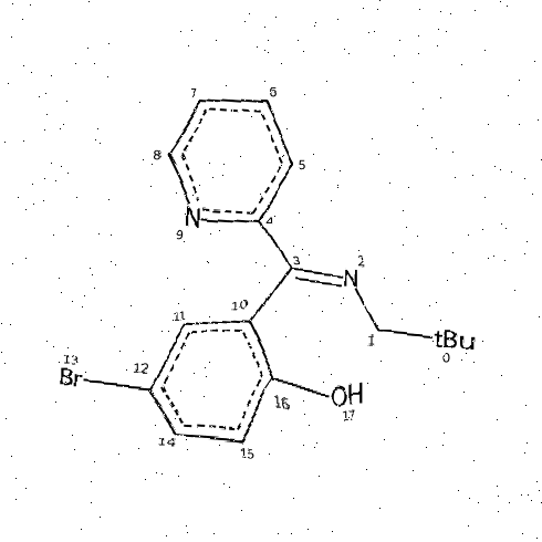 CC(C)(C)CN=C(c1ccccn1)c1cc(Br)ccc1O